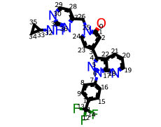 O=c1cc(-c2nn(-c3ccc(C(F)(F)F)cc3)c3ncccc23)ccn1Cc1ccnc(NC2CC2)n1